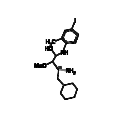 COC(C(O)Nc1ccc(I)cc1C)[C@H](N)CC1CCCCC1